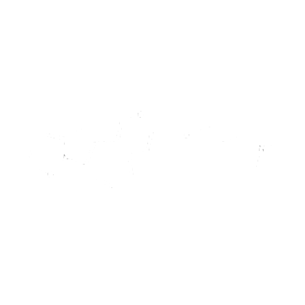 CN(C)CCCOCC1=CC2=CC=CC3=C(CC4=CC=CON43)C2=CO1